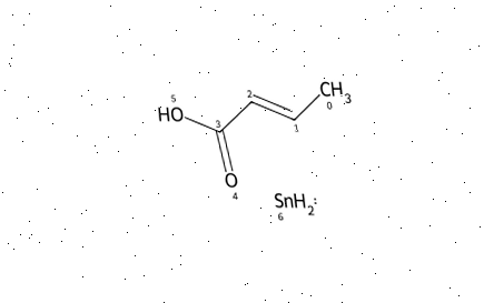 CC=CC(=O)O.[SnH2]